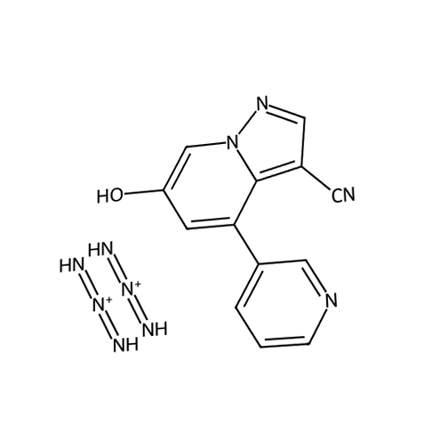 N#Cc1cnn2cc(O)cc(-c3cccnc3)c12.N=[N+]=N.N=[N+]=N